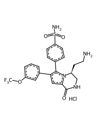 Cl.NCC[C@H]1CNC(=O)c2cc(-c3cccc(OC(F)(F)F)c3)c(-c3ccc(S(N)(=O)=O)cc3)n21